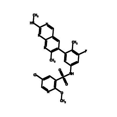 CNc1ncc2cc(-c3cc(NS(=O)(=O)c4cc(Cl)cnc4OC)cc(F)c3C)c(C)nc2n1